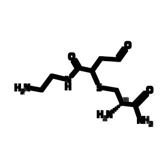 NCCNC(=O)C(CC=O)SC[C@@H](N)C(N)=O